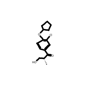 C[C@H](CO)C(=O)c1ccc(OC2CCCC2)c(Cl)c1